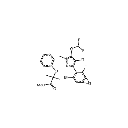 CCc1cc2c(c(F)c1-c1nn(C)c(OC(F)F)c1Cl)O2.COC(=O)C(C)(C)Oc1ccccc1